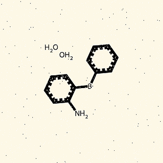 Nc1ccccc1[B]c1ccccc1.O.O